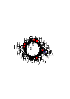 C/C=C/C[C@@H](C)CC1C(=O)N[C@@H](CC)C(=O)N(C)C(C(=O)OC)C(=O)N(C)[C@@H](CC(C)C)C(=O)N[C@H](C(C)C)C(=O)N(C)[C@H](CC(C)C)C(=O)N[C@H](C)C(=O)N[C@@H](C)C(=O)N(C)[C@H](CC(C)C)C(=O)N(C)[C@@H](CC(C)C)C(=O)N(C)[C@@H](C(C)C)C(=O)N1C